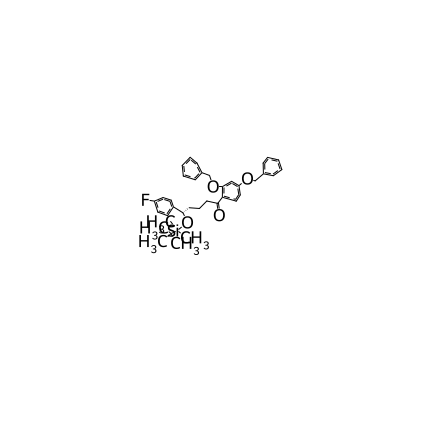 CC(C)(C)[Si](C)(C)O[C@@H](CCCC(=O)c1ccc(OCc2ccccc2)cc1OCc1ccccc1)c1ccc(F)cc1